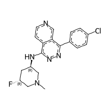 CN1C[C@H](F)C[C@@H](Nc2nnc(-c3ccc(Cl)cc3)c3cnccc23)C1